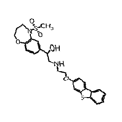 CS(=O)(=O)N1CCCOc2ccc(C(O)CNCCOc3ccc4c(c3)sc3ccccc34)cc21